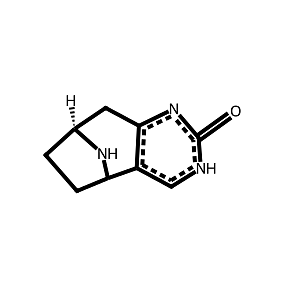 O=c1nc2c(c[nH]1)C1CC[C@@H](C2)N1